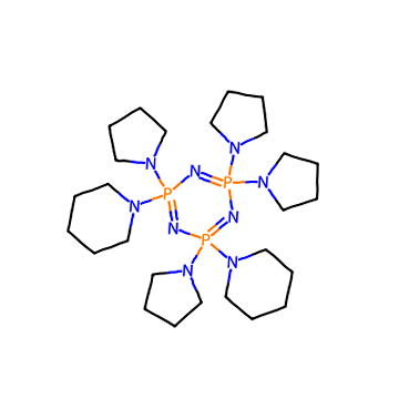 C1CCN(P2(N3CCCC3)=NP(N3CCCCC3)(N3CCCC3)=NP(N3CCCC3)(N3CCCC3)=N2)CC1